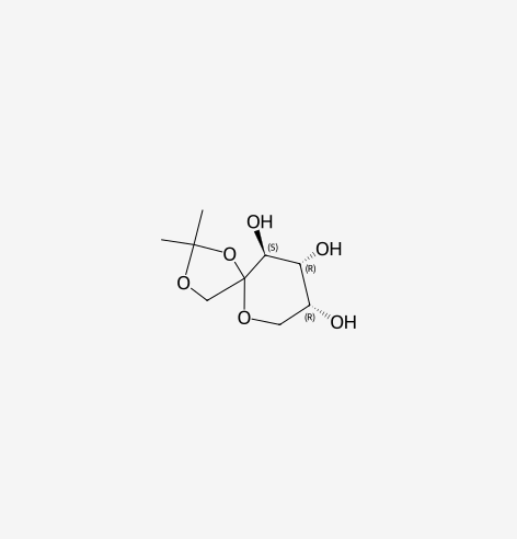 CC1(C)OCC2(OC[C@@H](O)[C@@H](O)[C@@H]2O)O1